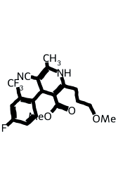 COCCCC1=C(C(=O)OC)C(c2ccc(F)cc2C(F)(F)F)C(C#N)=C(C)N1